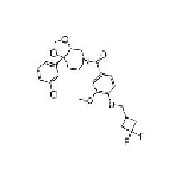 COc1cc(C(=O)N2CC[C@]3(c4cccc(Cl)c4)OCOC3C2)ccc1OCC1CC(F)(F)C1